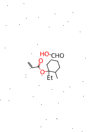 C=CC(=O)OC1(CC)CCCCC1C.O=CO